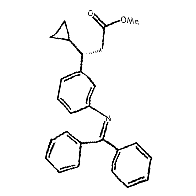 COC(=O)C[C@H](c1cccc(N=C(c2ccccc2)c2ccccc2)c1)C1CC1